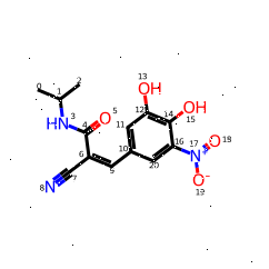 CC(C)NC(=O)C(C#N)=Cc1cc(O)c(O)c([N+](=O)[O-])c1